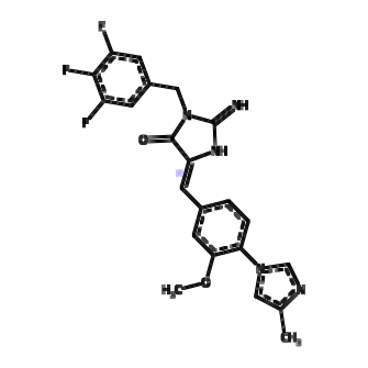 COc1cc(/C=C2\NC(=N)N(Cc3cc(F)c(F)c(F)c3)C2=O)ccc1-n1cnc(C)c1